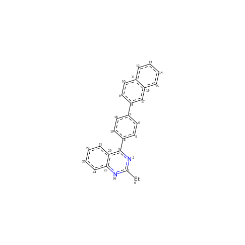 CCc1nc(-c2ccc(-c3ccc4ccccc4c3)cc2)c2ccccc2n1